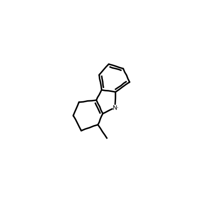 CC1CCCC2=C1[N]c1ccccc12